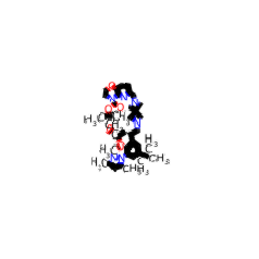 COC(=C=O)C[C@H](CN1CC2(CN(Cc3ccc4c(n3)N(C(=O)OC(C)(C)C)CCO4)C2)C1)c1cc(-n2nc(C)cc2C)cc(C(C)(C)C)c1